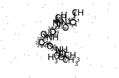 C#Cc1cccc(C(=O)Nc2cc(-c3ccc(NC(=O)c4ccccc4COCCNC(=O)OC(C)(C)C)cc3)nn2C)c1